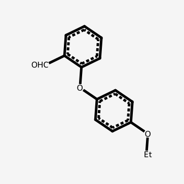 CCOc1ccc(Oc2ccccc2C=O)cc1